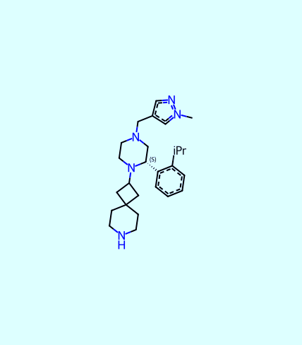 CC(C)c1ccccc1[C@H]1CN(Cc2cnn(C)c2)CCN1C1CC2(CCNCC2)C1